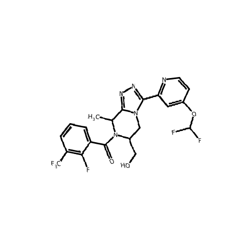 CC1c2nnc(-c3cc(OC(F)F)ccn3)n2CC(CO)N1C(=O)c1cccc(C(F)(F)F)c1F